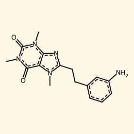 Cn1c(=O)c2c(nc(CCc3cccc(N)c3)n2C)n(C)c1=O